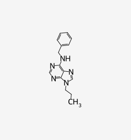 CCCn1cnc2c(NCc3ccccc3)ncnc21